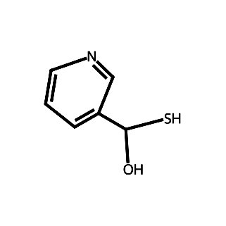 OC(S)c1cccnc1